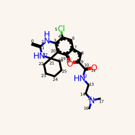 C=C1Nc2c(Cl)cc3cc(C(=O)NCCN(C)C)oc3c2C2(CCCCC2)N1